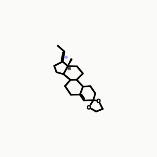 C/C=C1\CCC2C3CCC4=CC5(CCC4C3CC[C@@]12C)OCCO5